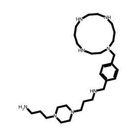 NCCCN1CCN(CCCNCc2ccc(CN3CCCNCCNCCCNCC3)cc2)CC1